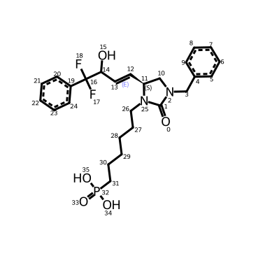 O=C1N(Cc2ccccc2)C[C@H](/C=C/C(O)C(F)(F)c2ccccc2)N1CCCCCCP(=O)(O)O